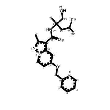 Cc1nn2ccc(OCc3ccccn3)cc2c1C(=O)NC(C)(CO)CC(F)F